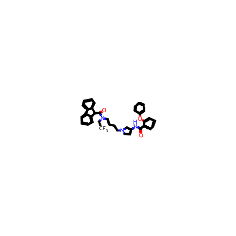 O=C(NC1CCN(CCCCN(CC(F)(F)F)C(=O)C2c3ccccc3-c3ccccc32)C1)c1ccccc1Oc1ccccc1